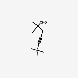 CC(C)(C=O)CC#C[Si](C)(C)C